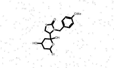 CCC1CC(O)CC(O)(C2CSC(=O)N2Cc2ccc(OC)cc2)O1